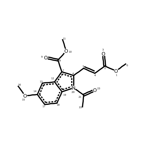 COC(=O)C=Cc1c(C(=O)OC)c2cc(OC)ccc2n1C(C)=O